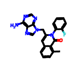 Cc1cccc2cc(Cn3cnc4c(N)ncnc43)n(-c3ccccc3F)c(=O)c12